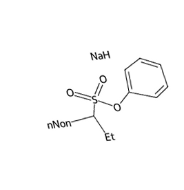 CCCCCCCCCC(CC)S(=O)(=O)Oc1ccccc1.[NaH]